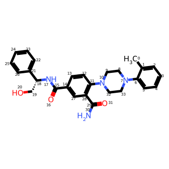 Cc1ccccc1N1CCN(c2ccc(C(=O)N[C@H](CO)c3ccccc3)cc2C(N)=O)CC1